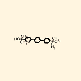 CC(C)(O)c1ccc(-c2ccc(-c3ccc(C(C)(C)O)cc3)cc2)cc1